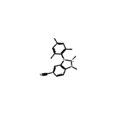 Cc1cc(C)c(N2c3cc(C#N)ccc3N(C)[C@@H]2C)c(C)c1